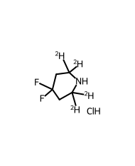 Cl.[2H]C1([2H])CC(F)(F)CC([2H])([2H])N1